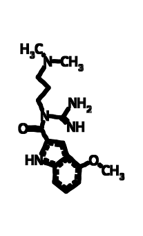 COc1cccc2[nH]c(C(=O)N(CCCN(C)C)C(=N)N)cc12